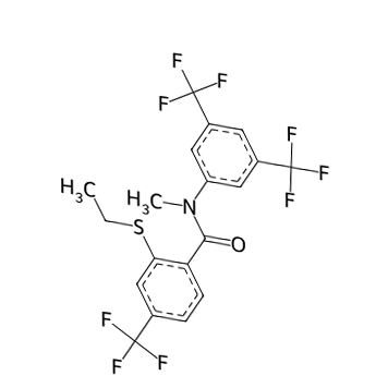 CCSc1cc(C(F)(F)F)ccc1C(=O)N(C)c1cc(C(F)(F)F)cc(C(F)(F)F)c1